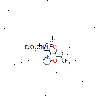 CCOC(=O)NCC1=C(n2ccccc2=O)c2cc(C(F)(F)F)ccc2OC1(C)C